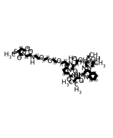 CCOCc1nc2c(NC(=O)C(NC(=O)[C@@H]3CCCN3C(=O)[C@H](CC(=O)O)NC(=O)CCOCCOCCOCCNC(=O)CN3C(=O)CC(SC)C3=O)C(C)C)nc3ccccc3c2n1CC(C)(C)O